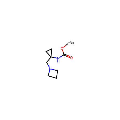 CC(C)(C)OC(=O)NC1(CN2CCC2)CC1